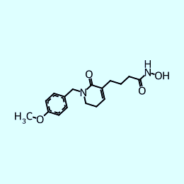 COc1ccc(CN2CCC=C(CCCC(=O)NO)C2=O)cc1